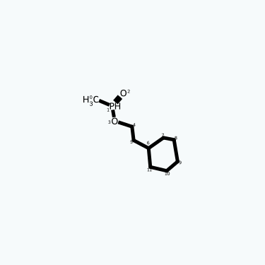 C[PH](=O)OCCC1CCCCC1